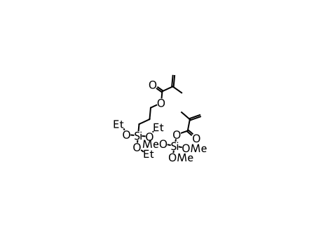 C=C(C)C(=O)OCCC[Si](OCC)(OCC)OCC.C=C(C)C(=O)O[Si](OC)(OC)OC